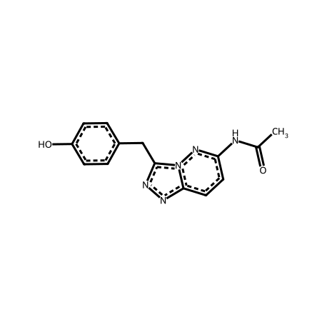 CC(=O)Nc1ccc2nnc(Cc3ccc(O)cc3)n2n1